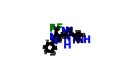 FC(F)c1nn(C2CCCCC2)cc1-c1nnc(-c2cc[nH]n2)[nH]1